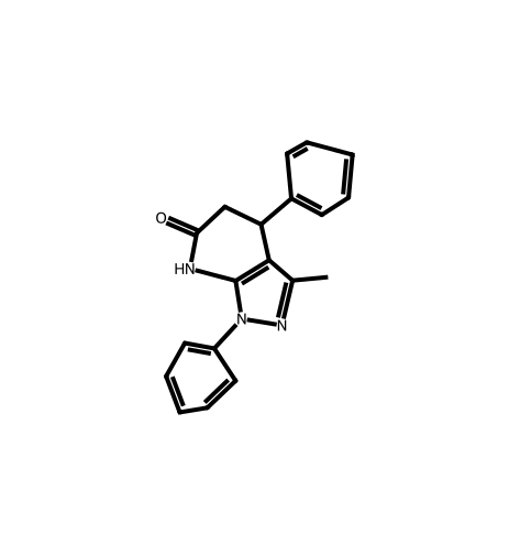 Cc1nn(-c2ccccc2)c2c1C(c1ccccc1)CC(=O)N2